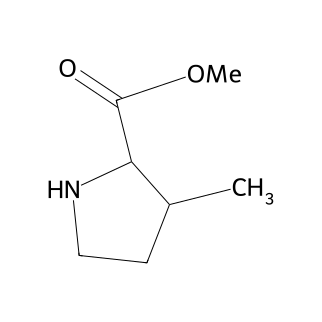 COC(=O)C1NCCC1C